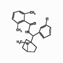 Cc1cccc(C)c1C(=O)NC(c1cccc(Cl)c1)C12CCC(CC1)N2C